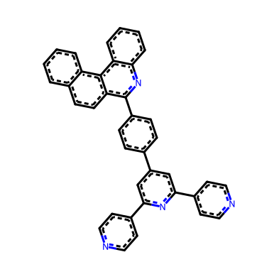 c1ccc2c(c1)ccc1c(-c3ccc(-c4cc(-c5ccncc5)nc(-c5ccncc5)c4)cc3)nc3ccccc3c12